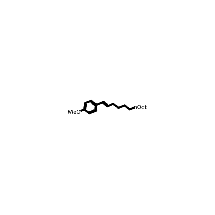 CCCCCCCCCCCCC=Cc1[c]cc(OC)cc1